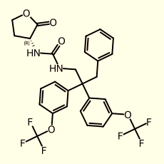 O=C(NCC(Cc1ccccc1)(c1cccc(OC(F)(F)F)c1)c1cccc(OC(F)(F)F)c1)N[C@@H]1CCOC1=O